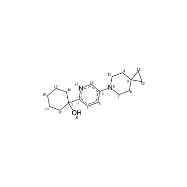 OC1(c2ccc(N3CCC4(CC3)CC4)cn2)CCCCC1